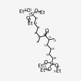 CCO[Si](CCCCC(C)C(=O)C(C)CCCC[Si](OCC)(OCC)OCC)(OCC)OCC